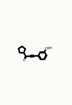 COc1cccc(C#CC(=O)C2CCCC2)c1